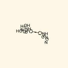 C[C@@H](O)[C@H](NC(=O)c1ccc(C#Cc2ccc(NC(=O)CN3CC[C@@H](N(C)C)C3)cc2)cc1)C(=O)NO